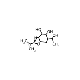 CC(O)C1CC2OC(N(C)C)=NC2C(O)C1O